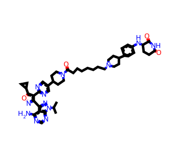 CC(C)n1nc(-c2noc(C3CC3)c2-c2ncc(C3CCN(C(=O)CCCCCCCN4CCC(c5ccc(NC6CCC(=O)NC6=O)cc5)CC4)CC3)cn2)c2c(N)ncnc21